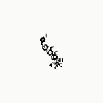 CCC1CN(c2ncc(Nc3c(NC4CC4)c(=O)c3=O)cc2Cl)CCN1C1CCN(Cc2ccc(Cl)cc2)CC1